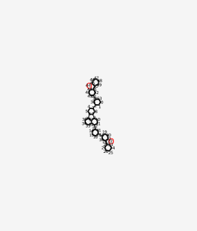 c1cc(-c2ccc3c(c2)-c2ccc(-c4cccc(-c5ccc6oc7ccccc7c6c5)c4)c4cccc-3c24)cc(-c2ccc3oc4ccccc4c3c2)c1